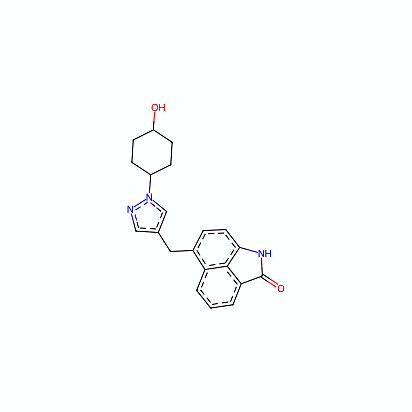 O=C1Nc2ccc(Cc3cnn(C4CCC(O)CC4)c3)c3cccc1c23